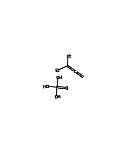 C=C=C(CC)CC.O=P(O)(O)O